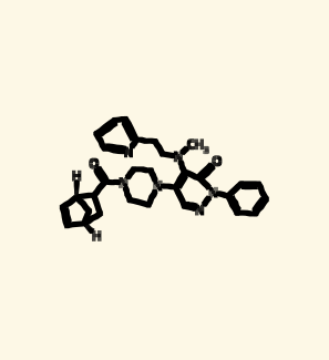 CN(CCc1ccccn1)c1c(N2CCN(C(=O)C3C[C@@H]4C=C[C@H]3C4)CC2)cnn(-c2ccccc2)c1=O